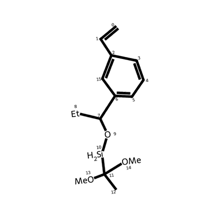 C=Cc1cccc(C(CC)O[SiH2]C(C)(OC)OC)c1